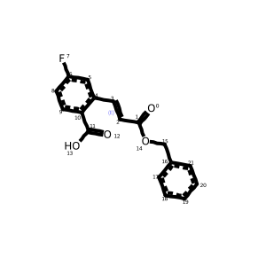 O=C(/C=C/c1cc(F)ccc1C(=O)O)OCc1ccccc1